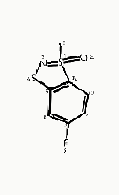 CS1(=O)=NSc2cc(F)ccc21